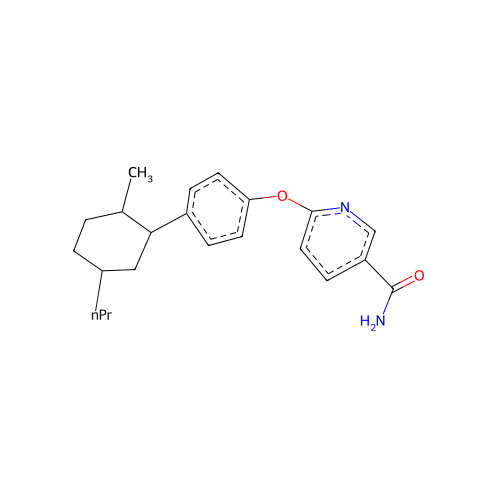 CCCC1CCC(C)C(c2ccc(Oc3ccc(C(N)=O)cn3)cc2)C1